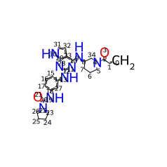 C=CC(=O)N1CCC[C@@H](Nc2nc(Nc3cccc(NC(=O)N4CCCC4)c3)nc3[nH]ccc23)C1